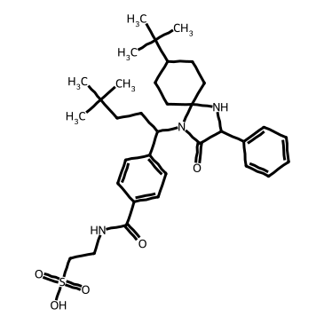 CC(C)(C)CCC(c1ccc(C(=O)NCCS(=O)(=O)O)cc1)N1C(=O)C(c2ccccc2)NC12CCC(C(C)(C)C)CC2